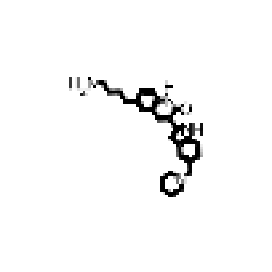 NCCCCc1ccc2[nH]c(=O)c(-c3cc4cc(CN5CCCCC5)ccc4[nH]3)cc2c1